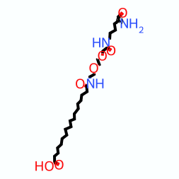 N[C@H](C=O)CCCCNC(=O)COCCOCCNC(=O)CCCCCCCCCCCCCCCCC(=O)O